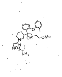 COCCCC[C@@](O)(c1ccccc1Oc1ccccc1C)C1CCCN(C(=C[N+](=O)[O-])N2CCC(N)C2)C1